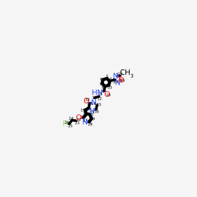 Cc1nc(-c2cccc(C(=O)NCCN3CCn4c(cc5c(OCCCF)nccc54)C3=O)c2)no1